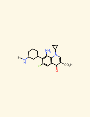 CCNC1CCCC(c2c(F)cc3c(=O)c(C(=O)O)cn(C4CC4)c3c2N)C1